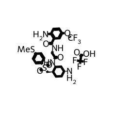 CSc1ccc(S(=O)(=O)C[C@@H]2CC[C@@H](N)C[C@@H]2NC(=O)CNC(=O)c2cc(OC(F)(F)F)ccc2N)cc1.O=C(O)C(F)(F)F